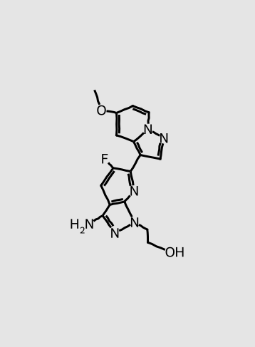 COc1ccn2ncc(-c3nc4c(cc3F)c(N)nn4CCO)c2c1